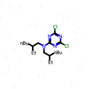 CCCCC(CC)CN(CC(CC)CCCC)c1nc(Cl)nc(Cl)n1